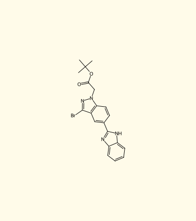 CC(C)(C)OC(=O)Cn1nc(Br)c2cc(-c3nc4ccccc4[nH]3)ccc21